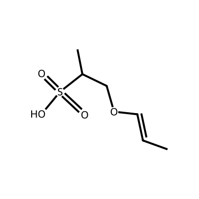 CC=COCC(C)S(=O)(=O)O